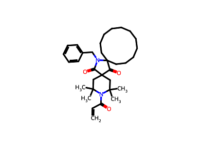 C=CC(=O)N1C(C)(C)CC2(CC1(C)C)C(=O)N(Cc1ccccc1)C1(CCCCCCCCCCC1)C2=O